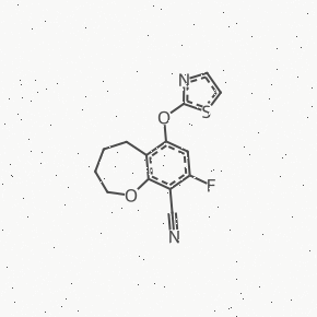 N#Cc1c(F)cc(Oc2nccs2)c2c1OCCCC2